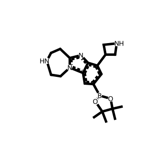 CC1(C)OB(c2cc(C3CNC3)c3nc4n(c3c2)CCNCC4)OC1(C)C